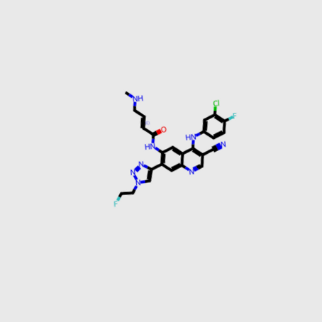 CNC/C=C/C(=O)Nc1cc2c(Nc3ccc(F)c(Cl)c3)c(C#N)cnc2cc1-c1cn(CCF)nn1